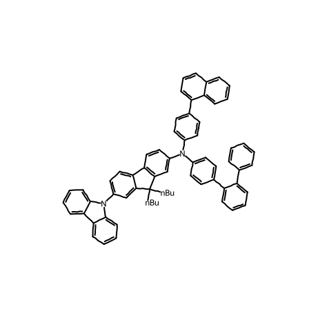 CCCCC1(CCCC)c2cc(N(c3ccc(-c4ccccc4-c4ccccc4)cc3)c3ccc(-c4cccc5ccccc45)cc3)ccc2-c2ccc(-n3c4ccccc4c4ccccc43)cc21